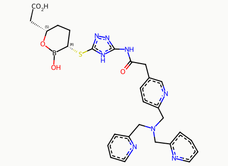 O=C(O)C[C@@H]1CC[C@H](Sc2nnc(NC(=O)Cc3ccc(CN(Cc4ccccn4)Cc4ccccn4)nc3)[nH]2)B(O)O1